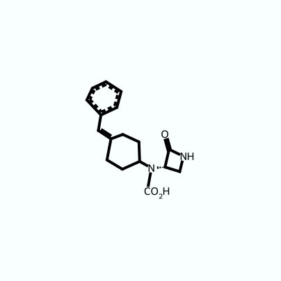 O=C1NC[C@@H]1N(C(=O)O)C1CCC(=Cc2ccccc2)CC1